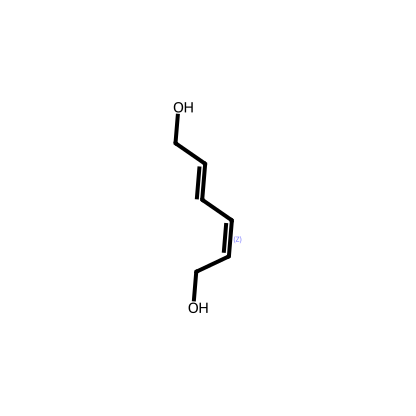 OCC=C/C=C\CO